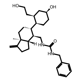 C=C1CC[C@H]2[C@H](CNC(=O)NCc3ccccc3)[C@@H]([C@@H]3CC[C@H](O)C[C@@H]3CCO)CC[C@]12C